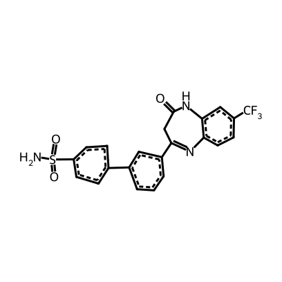 NS(=O)(=O)c1ccc(-c2cccc(C3=Nc4ccc(C(F)(F)F)cc4NC(=O)C3)c2)cc1